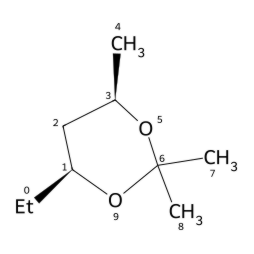 CC[C@H]1C[C@@H](C)OC(C)(C)O1